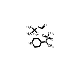 CC(C)(C)OC=O.CN(C1CCNCC1)S(C)(=O)=O